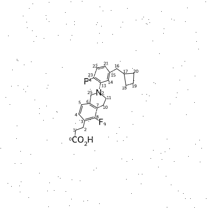 O=C(O)CCc1ccc2c(c1F)CCN(c1cc(CC3CCC3)ccc1F)C2